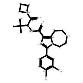 CC(C)(C)[C@H](NC(=O)c1nc(-c2ccc(F)c(F)c2)n2c1CCOCC2)C(=O)N1CCC1